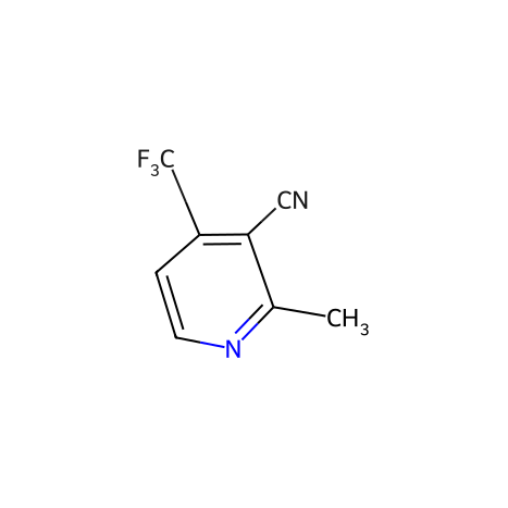 Cc1nccc(C(F)(F)F)c1C#N